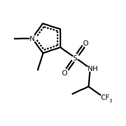 Cc1c(S(=O)(=O)NC(C)C(F)(F)F)ccn1C